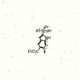 CCOC(=O)c1cc2cc([Si](C(C)C)(C(C)C)C(C)C)[nH]c2cc1F